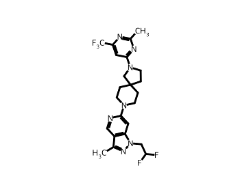 Cc1nc(N2CCC3(CCN(c4cc5c(cn4)c(C)nn5CC(F)F)CC3)C2)cc(C(F)(F)F)n1